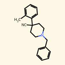 Cc1ccccc1C1(C#N)CCN(Cc2ccccc2)CC1